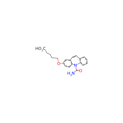 NC(=O)N1c2ccccc2C=Cc2cc(OCCCCC(=O)O)ccc21